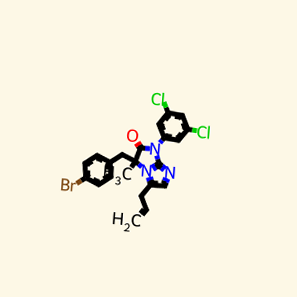 C=CCc1cnc2n1C(C)(Cc1ccc(Br)cc1)C(=O)N2c1cc(Cl)cc(Cl)c1